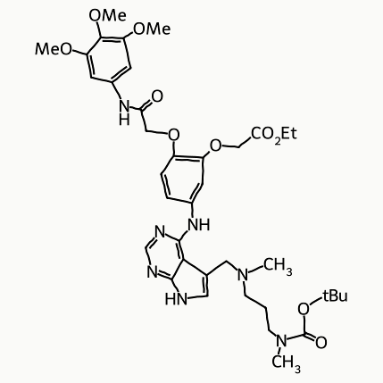 CCOC(=O)COc1cc(Nc2ncnc3[nH]cc(CN(C)CCCN(C)C(=O)OC(C)(C)C)c23)ccc1OCC(=O)Nc1cc(OC)c(OC)c(OC)c1